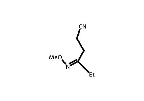 CCC(CCC#N)=NOC